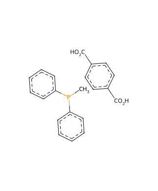 CP(c1ccccc1)c1ccccc1.O=C(O)c1ccc(C(=O)O)cc1